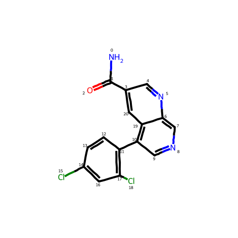 NC(=O)c1cnc2cncc(-c3ccc(Cl)cc3Cl)c2c1